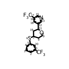 FC(F)(F)c1cccc(SC2CCOC(c3cncc(C(F)(F)F)c3)C2)c1